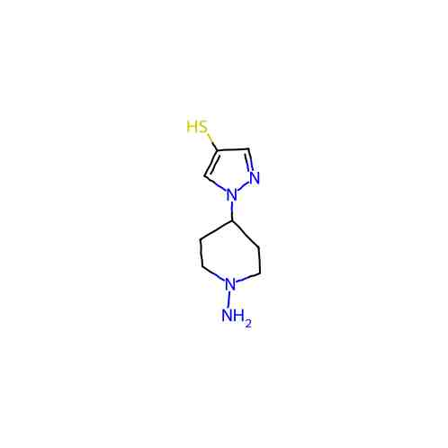 NN1CCC(n2cc(S)cn2)CC1